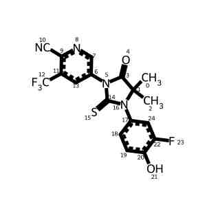 CC1(C)C(=O)N(c2cnc(C#N)c(C(F)(F)F)c2)C(=S)N1c1ccc(O)c(F)c1